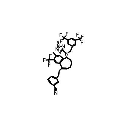 Cc1cc2c(cc1C(F)(F)F)/C(CCc1cccc(C#N)c1)=C\CCC[C@@H]2N(Cc1cc(C(F)(F)F)cc(C(F)(F)F)c1)c1nnn(C)n1